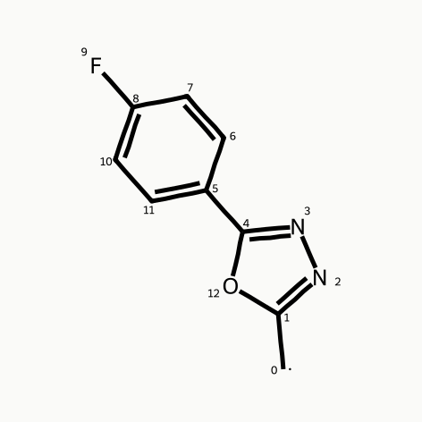 [CH2]c1nnc(-c2ccc(F)cc2)o1